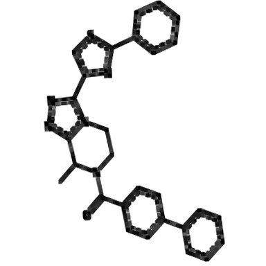 CC1c2nnc(-c3csc(-c4ccccc4)n3)n2CCN1C(=O)c1ccc(-c2ccccc2)cc1